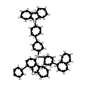 c1ccc(-c2ccc(N(c3ccc(-c4ccc(-n5c6ccccc6c6ccccc65)cc4)cc3)c3ccc(-c4cccc5ccccc45)cc3)c3c2oc2ccccc23)cc1